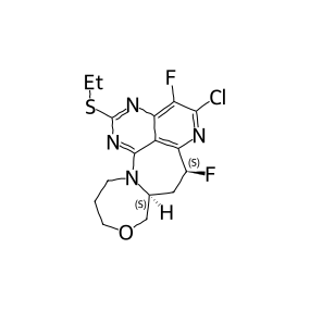 CCSc1nc2c3c(nc(Cl)c(F)c3n1)[C@@H](F)C[C@H]1COCCCN21